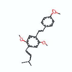 COc1ccc(/C=C/c2cc(OC)c(/C=C/C(C)C)cc2OC)cc1